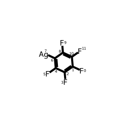 Fc1c(F)c(F)[c]([Ag])c(F)c1F